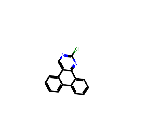 Clc1ncc2c3ccccc3c3ccccc3c2n1